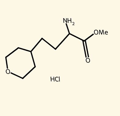 COC(=O)C(N)CCC1CCOCC1.Cl